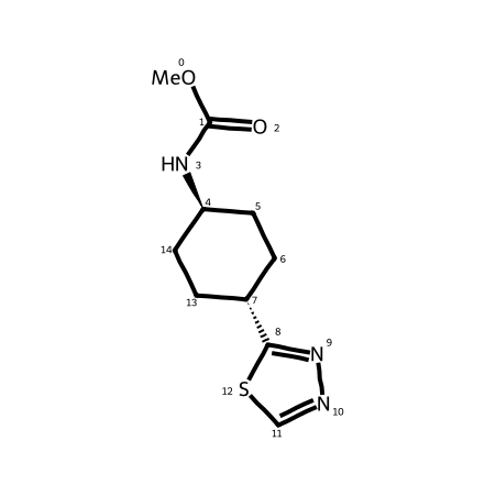 COC(=O)N[C@H]1CC[C@H](c2nncs2)CC1